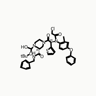 Cc1cc(Oc2ccccc2)ccc1N(C(=O)CCl)[C@H](C(=O)N1CCN(C(O)OC(C)(C)C)[C@@H](C(=O)NCc2ccccc2)C1)c1cccs1